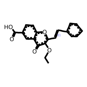 CCOc1c(/C=C/c2ccccc2)oc2ccc(C(=O)O)cc2c1=O